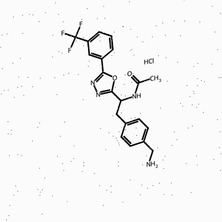 CC(=O)NC(Cc1ccc(CN)cc1)c1nnc(-c2cccc(C(F)(F)F)c2)o1.Cl